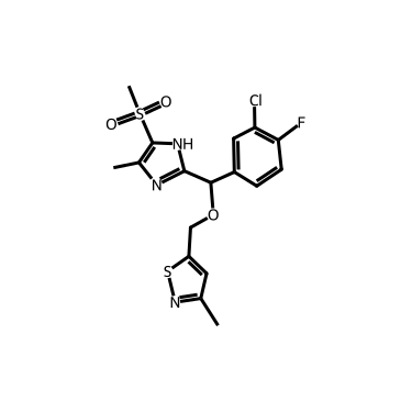 Cc1cc(COC(c2ccc(F)c(Cl)c2)c2nc(C)c(S(C)(=O)=O)[nH]2)sn1